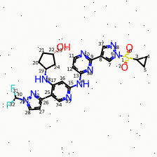 O=S(=O)(C1CC1)n1cc(-c2nccc(Nc3cc(N[C@H]4CC[C@H](O)C4)c(-c4ccn(C(F)F)n4)cn3)n2)cn1